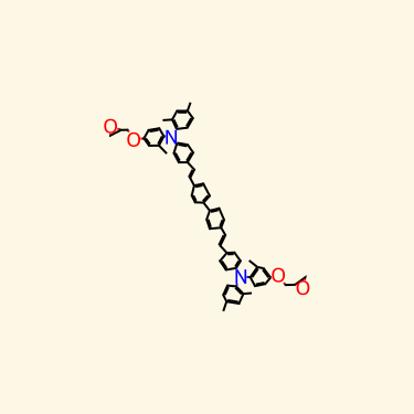 Cc1ccc(N(c2ccc(/C=C/c3ccc(-c4ccc(/C=C/c5ccc(N(c6ccc(C)cc6C)c6ccc(OCC7CO7)cc6C)cc5)cc4)cc3)cc2)c2ccc(OCC3CO3)cc2C)c(C)c1